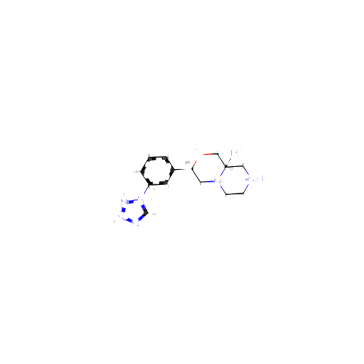 c1cc([C@@H]2CN3CCNC[C@H]3CO2)cc(-n2cnnn2)c1